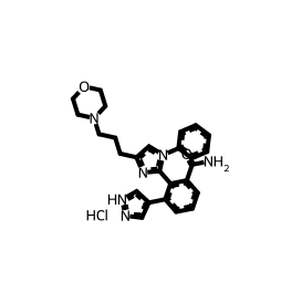 Cl.NC(=O)c1cccc(-c2cn[nH]c2)c1-c1nc(CCCN2CCOCC2)cn1-c1ccccc1